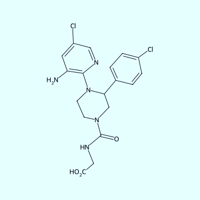 Nc1cc(Cl)cnc1N1CCN(C(=O)NCC(=O)O)CC1c1ccc(Cl)cc1